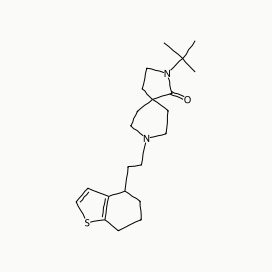 CC(C)(C)N1CCC2(CCN(CCC3CCCc4sccc43)CC2)C1=O